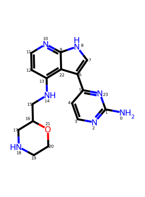 Nc1nccc(-c2c[nH]c3nccc(NCC4CNCCO4)c23)n1